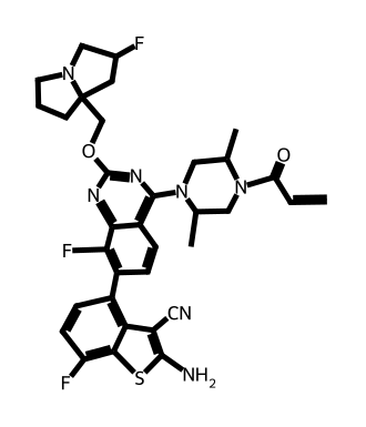 C=CC(=O)N1CC(C)N(c2nc(OCC34CCCN3CC(F)C4)nc3c(F)c(-c4ccc(F)c5sc(N)c(C#N)c45)ccc23)CC1C